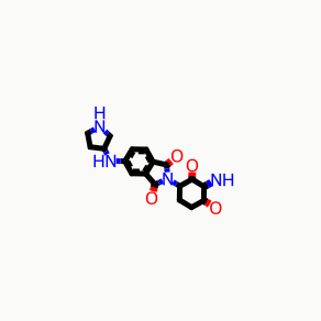 N=C1C(=O)CCC(N2C(=O)c3ccc(NC4CCNC4)cc3C2=O)C1=O